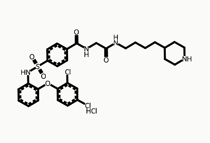 Cl.O=C(CNC(=O)c1ccc(S(=O)(=O)Nc2ccccc2Oc2ccc(Cl)cc2Cl)cc1)NCCCCC1CCNCC1